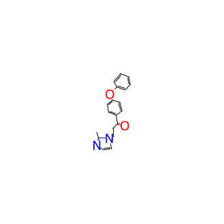 Cc1nccn1CCC(=O)c1ccc(Oc2ccccc2)cc1